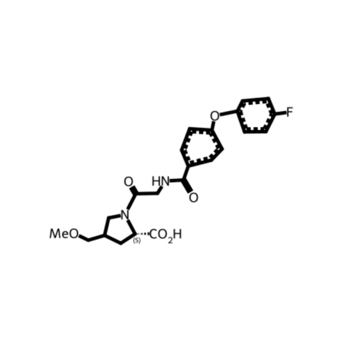 COCC1C[C@@H](C(=O)O)N(C(=O)CNC(=O)c2ccc(Oc3ccc(F)cc3)cc2)C1